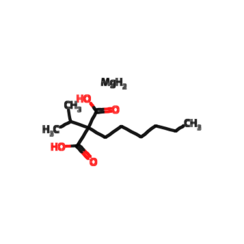 CCCCCCC(C(=O)O)(C(=O)O)C(C)C.[MgH2]